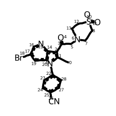 Cc1c(C(=O)CN2CCS(=O)(=O)CC2)c2ncc(Br)cc2n1-c1ccc(C#N)cc1